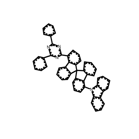 c1ccc(-c2nc(-c3ccccc3)nc(-c3cccc4c3-c3ccccc3C43c4ccccc4-c4c(-n5c6ccccc6c6ccccc65)cccc43)n2)cc1